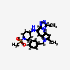 Cc1cc2c(cc(NC3CCN(S(C)(=O)=O)CC3)c3nnc(C)n32)n1Cc1ccccc1